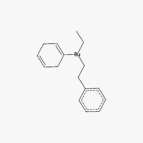 C[CH2][Ru]([CH2]Cc1ccccc1)[C]1=CCC=CC1